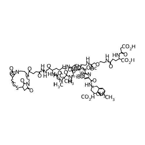 CCC(C)[C@H](NC(=O)C(C)(C)N(C)CC(=O)NC(CCCCNC(=O)COCCNC(=O)COCCNC(=O)CCC(NC(=O)CC(=O)O)C(=O)O)C(=O)NNC(=O)CCC(=O)N1CCN2C(=O)CC(SCSC3CC(=O)N(CC1)C3=O)C2=O)C(=O)N(C)[C@H](C[C@@H](OC(C)=O)c1nc(C(=O)N[C@@H](Cc2ccc(C)cc2)CC(C)C(=O)O)cs1)C(C)C